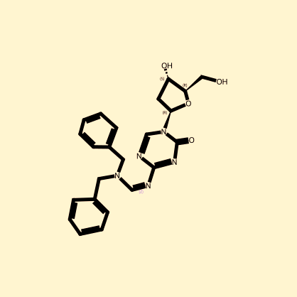 O=c1nc(/N=C\N(Cc2ccccc2)Cc2ccccc2)ncn1[C@H]1C[C@H](O)[C@@H](CO)O1